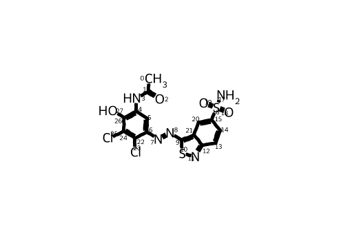 CC(=O)Nc1cc(/N=N/c2snc3ccc(S(N)(=O)=O)cc23)c(Cl)c(Cl)c1O